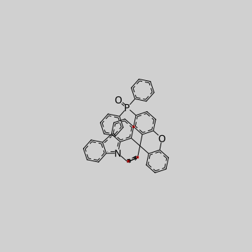 O=P(c1ccccc1)(c1ccccc1)c1ccc2c(c1)C1(c3ccccc3O2)c2ccccc2-n2c3ccccc3c3cccc1c32